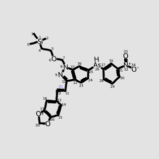 C[Si](C)(C)CCOCn1nc(/C=C/c2ccc3c(c2)OCO3)c2ccc([AsH]c3cccc([N+](=O)[O-])c3)cc21